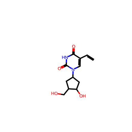 C=Cc1cn(C2CC(O)C(CO)C2)c(=O)[nH]c1=O